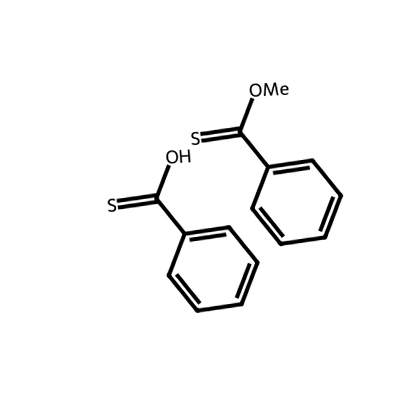 COC(=S)c1ccccc1.OC(=S)c1ccccc1